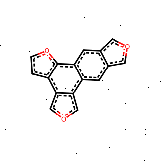 c1cc2c3cocc3c3cc4cocc4cc3c2o1